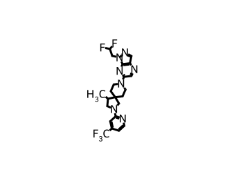 CC1CN(c2cc(C(F)(F)F)ccn2)CC12CCN(c1cnc3cnn(CC(F)F)c3n1)CC2